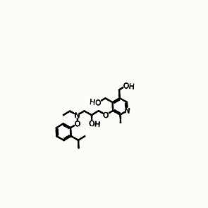 CCN(CC(O)COc1c(C)ncc(CO)c1CO)Oc1ccccc1C(C)C